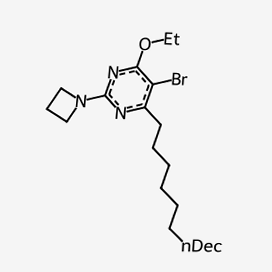 CCCCCCCCCCCCCCCCc1nc(N2CCC2)nc(OCC)c1Br